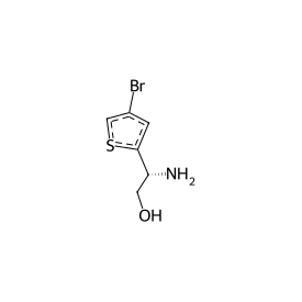 N[C@H](CO)c1cc(Br)cs1